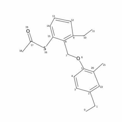 CCc1ccc(OCc2c(CC)cccc2SC(C)=O)c(C)c1